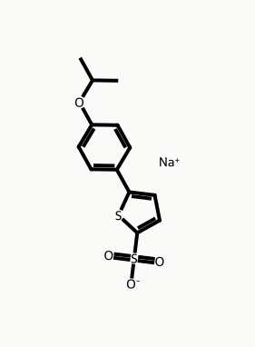 CC(C)Oc1ccc(-c2ccc(S(=O)(=O)[O-])s2)cc1.[Na+]